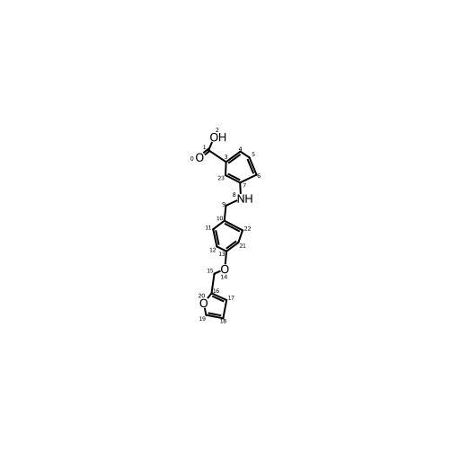 O=C(O)c1cccc(NCc2ccc(OCc3ccco3)cc2)c1